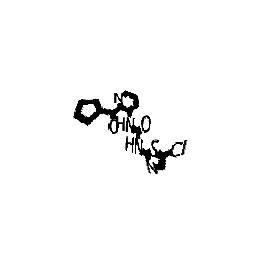 O=C(Nc1ncc(Cl)s1)Nc1cccnc1C(=O)C1CCCC1